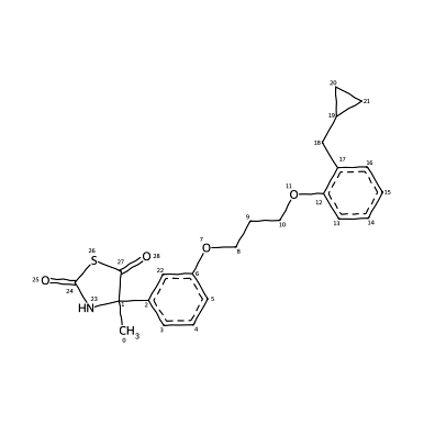 CC1(c2cccc(OCCCOc3ccccc3CC3CC3)c2)NC(=O)SC1=O